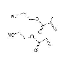 C=C(C)C(=O)OCCC#N.C=CC(=O)OCCC#N